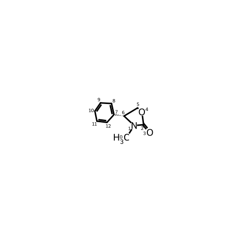 CN1C(=O)OC[C@H]1c1ccccc1